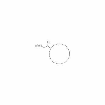 CCC(CNC)C1CCCCCCCCCCCCCCC1